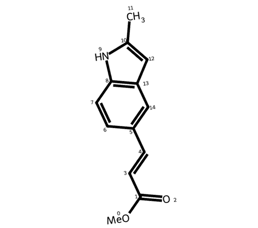 COC(=O)C=Cc1ccc2[nH]c(C)cc2c1